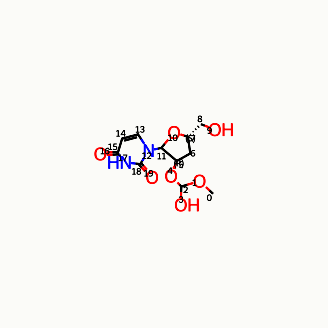 COC(O)O[C@@H]1C[C@@H](CO)OC1n1ccc(=O)[nH]c1=O